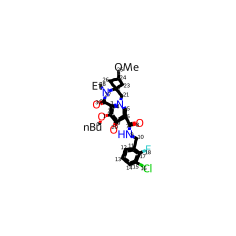 CCCCOc1c2n(cc(C(=O)NCc3cccc(Cl)c3F)c1=O)CC1(CC(OC)C1)N(CC)C2=O